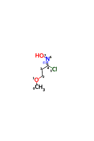 COCC/C(Cl)=N\O